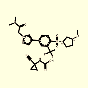 CO[C@H]1CC[C@H](S(=O)(=O)c2ccc(-c3cnn(CC(=O)N(C)C)c3)cc2C(F)(F)F)C1.N#CC1(NC(=O)O)CC1